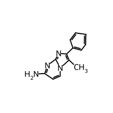 Cc1c(-c2ccccc2)nc2nc(N)ccn12